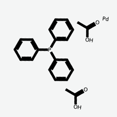 CC(=O)O.CC(=O)O.[Pd].c1ccc(P(c2ccccc2)c2ccccc2)cc1